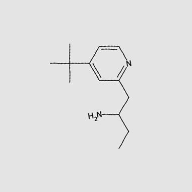 CCC(N)Cc1cc(C(C)(C)C)ccn1